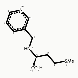 CSCC[C@H](NCc1cccnc1)C(=O)O